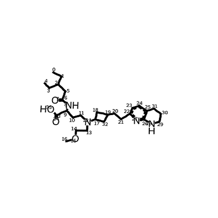 CCC(CC)CC(=O)NC(CCN(CCOC)C1CC(CCc2ccc3c(n2)NCCC3)C1)C(=O)O